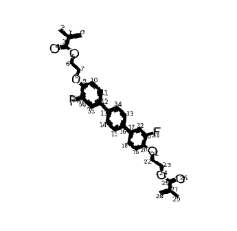 C=C(C)C(=O)OCCOc1ccc(-c2ccc(-c3ccc(OCCOC(=O)C(=C)C)c(F)c3)cc2)cc1F